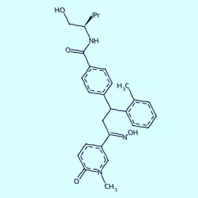 Cc1ccccc1C(C/C(=N\O)c1ccc(=O)n(C)c1)c1ccc(C(=O)N[C@@H](CO)C(C)C)cc1